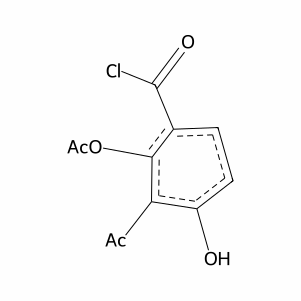 CC(=O)Oc1c(C(=O)Cl)ccc(O)c1C(C)=O